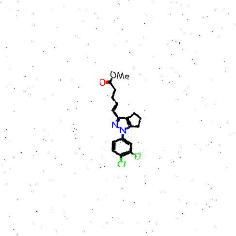 COC(=O)CCC=Cc1nn(-c2ccc(Cl)c(Cl)c2)c2c1CCC2